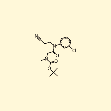 CN(CC(=O)N(CCC#N)c1cccc(Cl)c1)C(=O)OC(C)(C)C